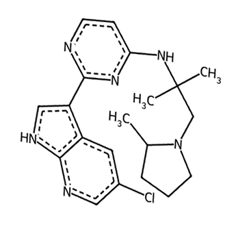 CC1CCCN1CC(C)(C)Nc1ccnc(-c2c[nH]c3ncc(Cl)cc23)n1